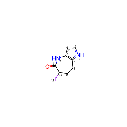 O=C1Nc2cc[nH]c2CCC1I